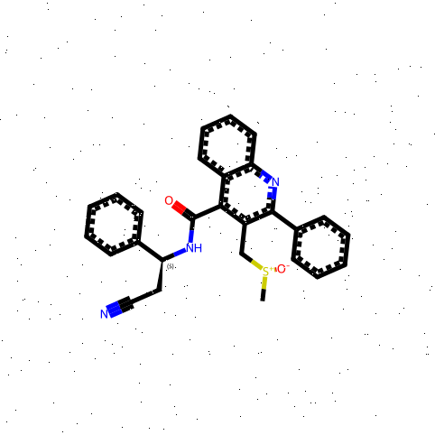 C[S+]([O-])Cc1c(-c2ccccc2)nc2ccccc2c1C(=O)N[C@@H](CC#N)c1ccccc1